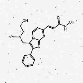 CCCN(CCO)Cc1c(-c2ccccc2)nc2cc(C=CC(=O)NO)ccn12